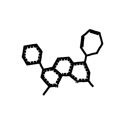 Cc1cc(-c2ccccc2)c2ccc3c(C4C=CC=CCC4)cc(C)nc3c2n1